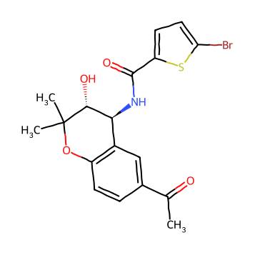 CC(=O)c1ccc2c(c1)[C@H](NC(=O)c1ccc(Br)s1)[C@@H](O)C(C)(C)O2